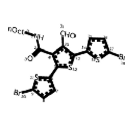 CCCCCCCCNC(=O)c1c(-c2ccc(Br)s2)sc(-c2ccc(Br)s2)c1C=O